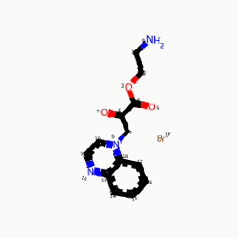 NCCOC(=O)C(=O)C[n+]1ccnc2ccccc21.[Br-]